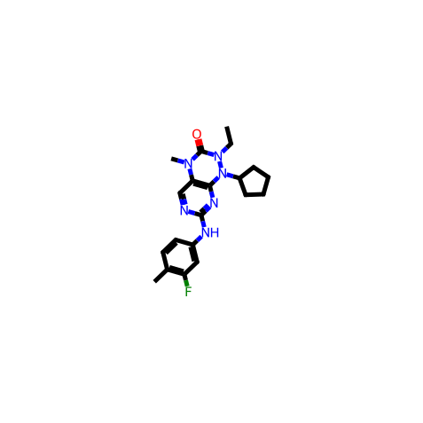 CCN1C(=O)N(C)c2cnc(Nc3ccc(C)c(F)c3)nc2N1C1CCCC1